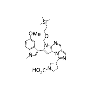 COc1ccc2c(c1)c(-c1cc3c(ncc4cnc(C5CCN(C(=O)O)C5)n43)n1COCC[Si](C)(C)C)cn2C